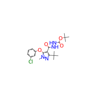 Cn1nc(C(C)(C)C)c(C(=O)NNC(=O)OC(C)(C)C)c1Oc1cccc(Cl)c1